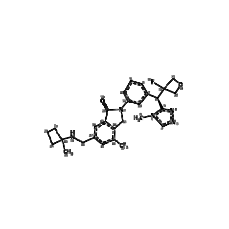 Cn1cnnc1[C@@H](c1cccc(N2Cc3c(cc(CNC4(C)CCC4)cc3C(F)(F)F)C2=O)c1)C1(F)COC1